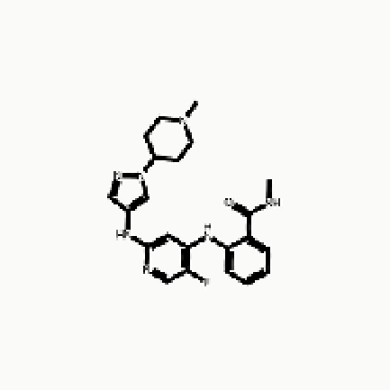 CNC(=O)c1ccccc1Nc1cc(Nc2cnn(C3CCN(C)CC3)c2)ncc1F